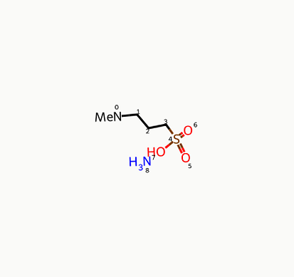 CNCCCS(=O)(=O)O.N